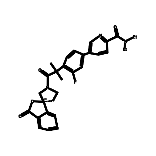 CCN(CC)C(=O)c1ccc(-c2ccc(C(C)(C)C(=O)N3CC[C@@]4(C3)OC(=O)c3ccccc34)c(F)c2)cn1